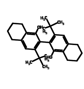 CC(C)(C)c1cc2c(c(O)c1-c1c(C(C)(C)C)cc3c(c1O)CCCC3)CCCC2